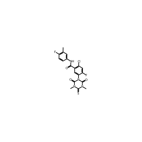 Cc1cc(NC(=O)c2cc(-n3c(=O)n(C)c(=S)n(C)c3=O)c(F)cc2Cl)ccc1F